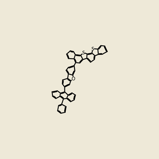 c1ccc(-c2c3ccccc3c(-c3ccc4c(c3)oc3cc(-c5cc6c7ccc8c9ccccc9sc8c7sc6c6ccccc56)ccc34)c3ccccc23)cc1